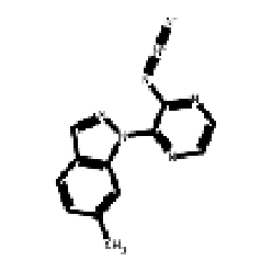 Cc1ccc2cnn(-c3nccnc3N=[N+]=[N-])c2c1